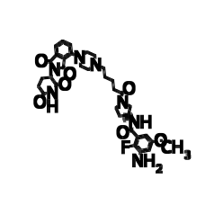 COc1cc(N)c(F)c(C(=O)N[C@@H]2CCN(C(=O)CCCCN3CCN(c4cccc5c4C(=O)N(C4CCC(=O)NC4=O)C5=O)CC3)C2)c1